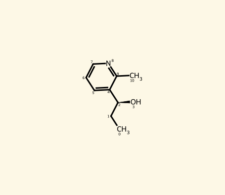 CC[C@H](O)c1cccnc1C